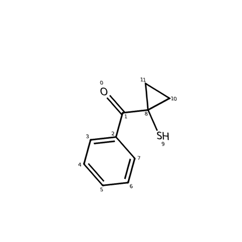 O=C(c1ccccc1)C1(S)CC1